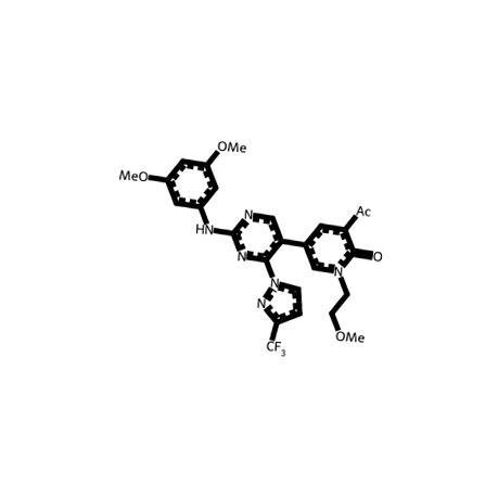 COCCn1cc(-c2cnc(Nc3cc(OC)cc(OC)c3)nc2-n2ccc(C(F)(F)F)n2)cc(C(C)=O)c1=O